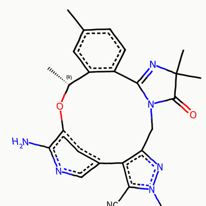 Cc1ccc2c(c1)[C@@H](C)Oc1cc(cnc1N)-c1c(nn(C)c1C#N)CN1C(=O)C(C)(C)N=C21